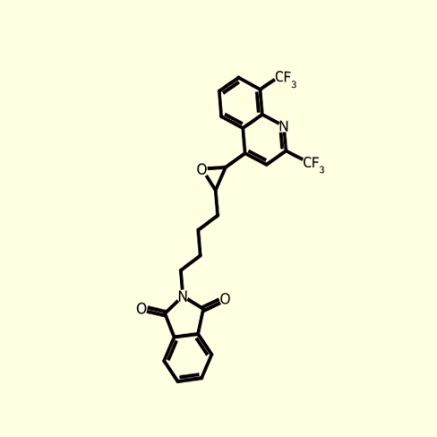 O=C1c2ccccc2C(=O)N1CCCCC1OC1c1cc(C(F)(F)F)nc2c(C(F)(F)F)cccc12